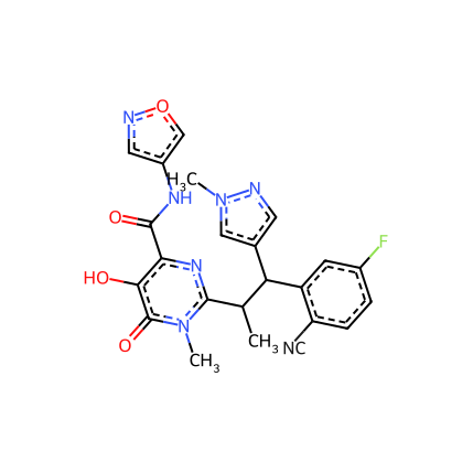 CC(c1nc(C(=O)Nc2cnoc2)c(O)c(=O)n1C)C(c1cnn(C)c1)c1cc(F)ccc1C#N